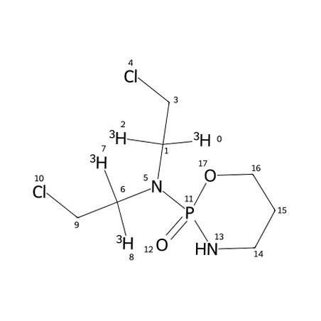 [3H]C([3H])(CCl)N(C([3H])([3H])CCl)P1(=O)NCCCO1